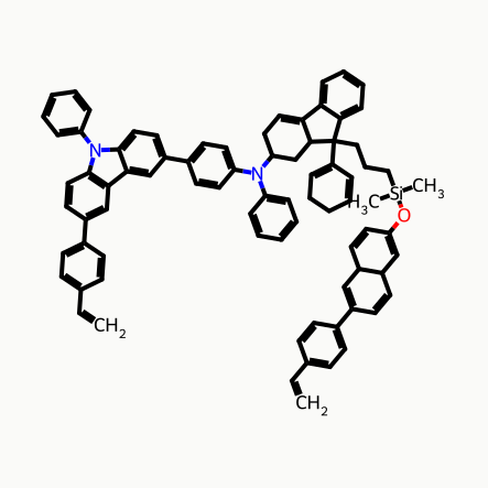 C=Cc1ccc(C2=CC3C=CC(O[Si](C)(C)CCCC4(C5=CCCC=C5)c5ccccc5C5=CCC(N(c6ccccc6)c6ccc(-c7ccc8c(c7)c7cc(-c9ccc(C=C)cc9)ccc7n8-c7ccccc7)cc6)CC54)=CC3C=C2)cc1